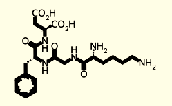 NCCCC[C@@H](N)C(=O)NCC(=O)N[C@H](Cc1ccccc1)C(=O)N[C@@H](CC(=O)O)C(=O)O